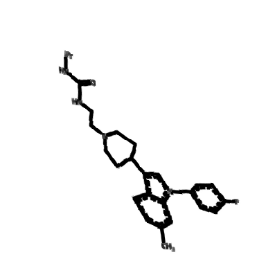 Cc1ccc2c(C3CCN(CCNC(=O)NC(C)C)CC3)cn(-c3ccc(F)cc3)c2c1